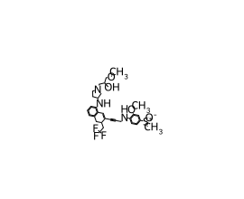 COCC(O)CN1CCC(Nc2cccc3c2C=C(C#CCNc2ccc([S+](C)[O-])cc2OC)C(CC(F)(F)F)C3)C1